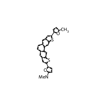 CNc1ccc(-c2cc3cc4ccc5cc6cc(-c7ccc(C)o7)sc6cc5c4cc3s2)o1